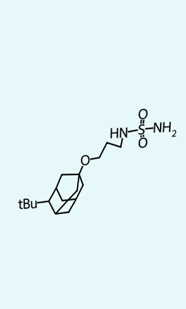 CC(C)(C)C1C2CC3CC1CC(OCCCNS(N)(=O)=O)(C3)C2